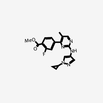 COC(=O)c1ccc(-c2nc(Nc3cnn(C4CC4)c3)ncc2C)cc1F